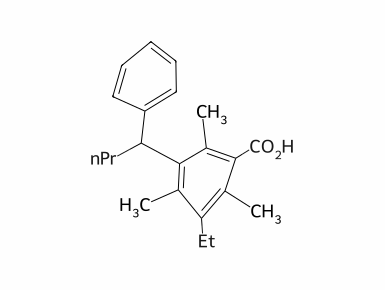 CCCC(c1ccccc1)c1c(C)c(CC)c(C)c(C(=O)O)c1C